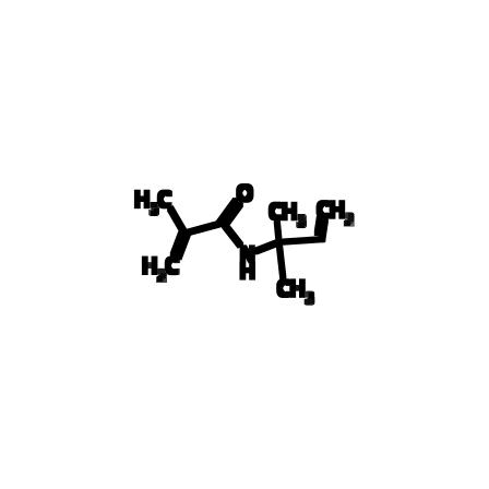 C=CC(C)(C)NC(=O)C(=C)C